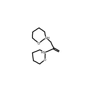 C=C(C[SiH]1CCCCO1)[SiH]1CCCCO1